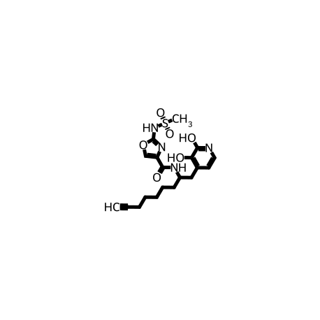 C#CCCCCCC(Cc1ccnc(O)c1O)NC(=O)c1coc(NS(C)(=O)=O)n1